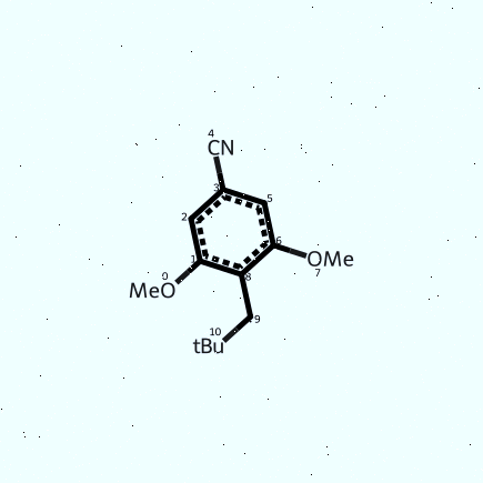 COc1cc(C#N)cc(OC)c1[CH]C(C)(C)C